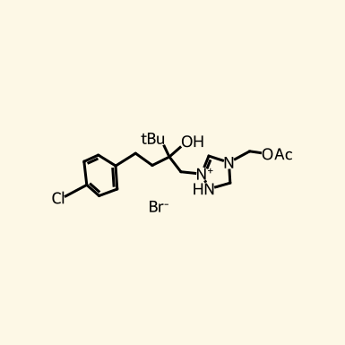 CC(=O)OCN1C=[N+](CC(O)(CCc2ccc(Cl)cc2)C(C)(C)C)NC1.[Br-]